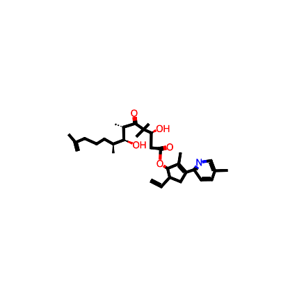 C=CC1CC(c2ccc(C)cn2)=C(C)C1OC(=O)C[C@H](O)C(C)(C)C(=O)[C@@H](C)[C@@H](O)[C@@H](C)CCCC(=C)C